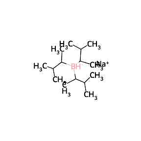 CC(C)C(C)[BH-](C(C)C(C)C)C(C)C(C)C.[Na+]